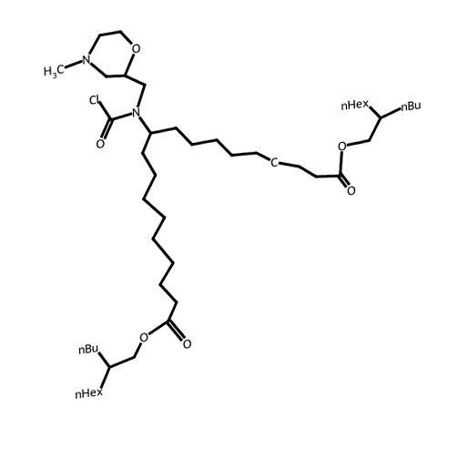 CCCCCCC(CCCC)COC(=O)CCCCCCCCC(CCCCCCCCC(=O)OCC(CCCC)CCCCCC)N(CC1CN(C)CCO1)C(=O)Cl